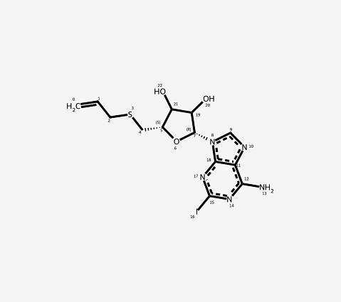 C=CCSC[C@H]1O[C@@H](n2cnc3c(N)nc(I)nc32)C(O)C1O